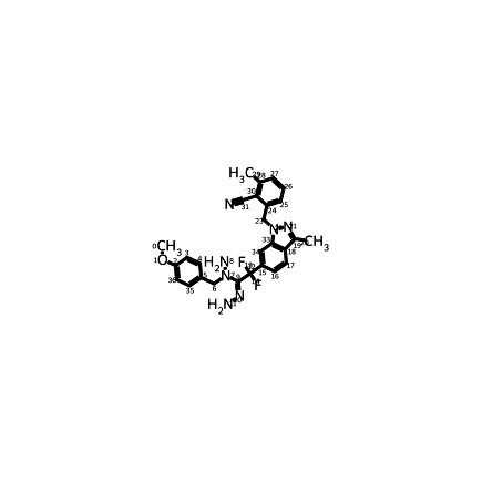 COc1ccc(CN(N)/C(=N\N)C(F)(F)c2ccc3c(C)nn(Cc4cccc(C)c4C#N)c3c2)cc1